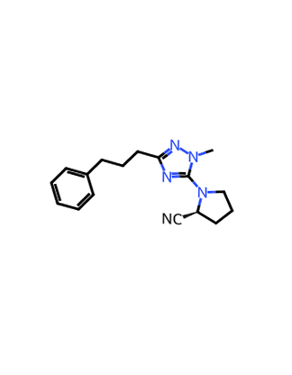 Cn1nc(CCCc2ccccc2)nc1N1CCC[C@H]1C#N